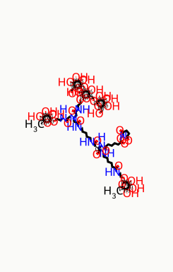 C[C@@H]1O[C@@H](OCCNC(=O)CCCCCNC(=O)[C@H](CC(=O)NCCCCCNC(=O)CN(CC(=O)NCCO[C@@H]2O[C@@H](C)[C@@H](O)[C@@H](O)[C@@H]2O)CC(=O)NCCO[C@H]2O[C@H](CO[C@H]3O[C@H](CO)[C@@H](O)[C@H](O)[C@@H]3O)[C@@H](O)[C@H](O[C@H]3O[C@H](CO)[C@@H](O)[C@H](O)[C@@H]3O)[C@@H]2O)NC(=O)CCCCC(=O)ON2C(=O)CCC2=O)[C@@H](O)[C@H](O)[C@@H]1O